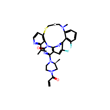 C=CC(=O)N1CCN(c2nc(=O)n3c4nc(c(F)cc24)-c2c(F)cccc2N(C)CCCSc2ccnc(C(C)C)c2-3)[C@@H](C)C1